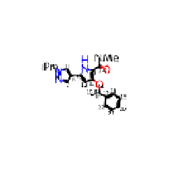 CNC(=O)c1[nH]c(-c2cnn(C(C)C)c2)cc1O[C@H](C)c1ccccc1